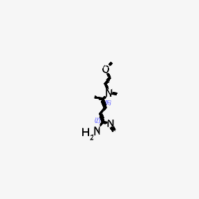 C=N/C(N)=C\C=C(/C)N(C)CCOC